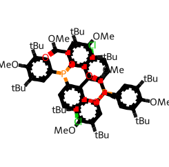 COC(=O)C(C)Oc1c(Cl)ccc(P(c2cc(C(C)(C)C)c(OC)c(C(C)(C)C)c2)c2cc(C(C)(C)C)c(OC)c(C(C)(C)C)c2)c1-c1c(P(c2cc(C(C)(C)C)c(OC)c(C(C)(C)C)c2)c2cc(C(C)(C)C)c(OC)c(C(C)(C)C)c2)ccc(Cl)c1OC(C)C(=O)OC